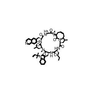 C=CC(C)(C)n1cc(C[C@@H]2NC(=O)[C@H](CCCC)NC(=O)[C@H](CC(C)C)N3CC/C=C\C[C@@H](C3=O)N(C)C(=O)[C@H](C)NC(=O)[C@H](Cc3ccc4cnccc4c3)NC(=O)[C@H](CC(C)C)N(C)C2=O)c2ccccc21